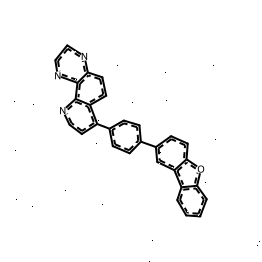 c1ccc2c(c1)oc1ccc(-c3ccc(-c4ccnc5c4ccc4nccnc45)cc3)cc12